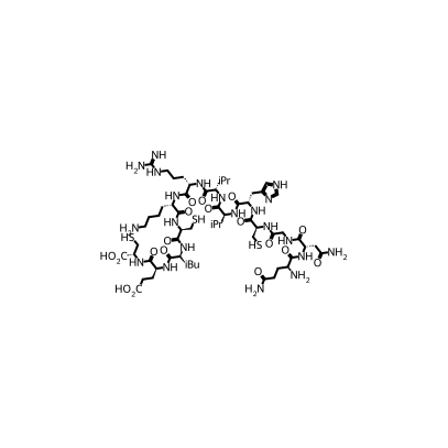 CC[C@H](C)[C@H](NC(=O)[C@H](CS)NC(=O)[C@H](CCCCN)NC(=O)[C@H](CCCNC(=N)N)NC(=O)[C@@H](NC(=O)[C@@H](NC(=O)[C@H](Cc1c[nH]cn1)NC(=O)[C@H](CS)NC(=O)CNC(=O)[C@H](CC(N)=O)NC(=O)[C@@H](N)CCC(N)=O)C(C)C)C(C)C)C(=O)N[C@@H](CCC(=O)O)C(=O)N[C@@H](CS)C(=O)O